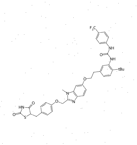 Cn1c(COc2ccc(CC3SC(=O)NC3=O)cc2)nc2ccc(OCCc3ccc(C(C)(C)C)c(NC(=O)Nc4ccc(C(F)(F)F)cc4)c3)cc21